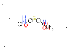 O=C(Nc1ccccc1)c1ccc(Sc2ccc(C3=NOC(O)(C(F)(F)F)C3)cc2)cc1